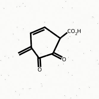 C=C1C=CC(C(=O)O)C(=O)C1=O